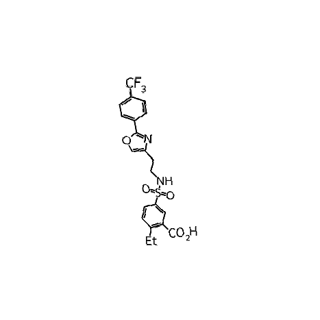 CCc1ccc(S(=O)(=O)NCCc2coc(-c3ccc(C(F)(F)F)cc3)n2)cc1C(=O)O